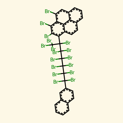 Brc1c(C(Br)(C(Br)(Br)Br)C(Br)(Br)C(Br)(Br)C(Br)(Br)C(Br)(Br)C(Br)(Br)c2ccc3ccccc3c2)c2ccc3cccc4cc(Br)c(c1Br)c2c34